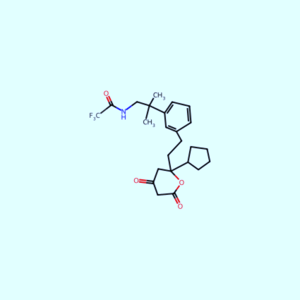 CC(C)(CNC(=O)C(F)(F)F)c1cccc(CCC2(C3CCCC3)CC(=O)CC(=O)O2)c1